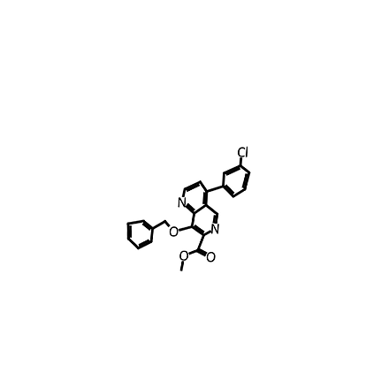 COC(=O)c1ncc2c(-c3cccc(Cl)c3)ccnc2c1OCc1ccccc1